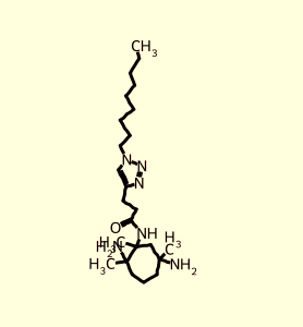 CCCCCCCCCn1cc(CCC(=O)NC2(C)CC(C)(N)CCCC2(C)N)nn1